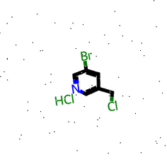 Cl.ClCc1cncc(Br)c1